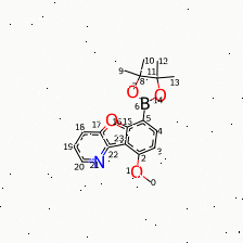 COc1ccc(B2OC(C)(C)C(C)(C)O2)c2oc3cccnc3c12